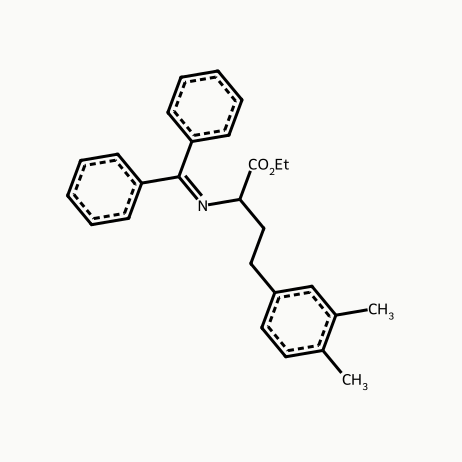 CCOC(=O)C(CCc1ccc(C)c(C)c1)N=C(c1ccccc1)c1ccccc1